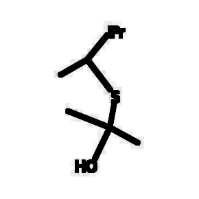 CC(C)C(C)SC(C)(C)O